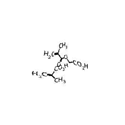 C=C(C)C(=O)O.C=C(C)C(=O)OCC(=O)O